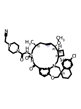 CO[C@H]1/C=C/C[C@H](C)CS(=O)(NC(=O)N2CCN(CC#N)CC2)=NC(=O)c2ccc3c(c2)N(C[C@@H]2CC[C@H]21)C[C@@]1(CCCc2cc(Cl)ccc21)CO3